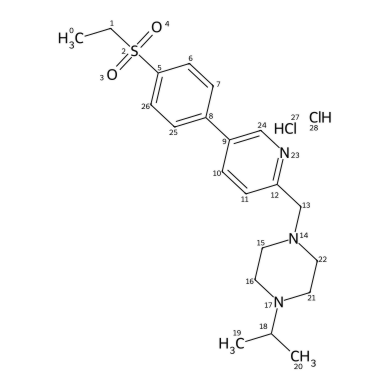 CCS(=O)(=O)c1ccc(-c2ccc(CN3CCN(C(C)C)CC3)nc2)cc1.Cl.Cl